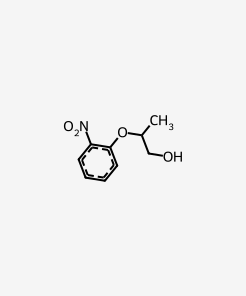 CC(CO)Oc1ccccc1[N+](=O)[O-]